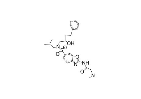 CC(C)CN(CC(O)[CH]Cc1ccccc1)S(=O)(=O)c1ccc2nc(NC(=O)CN(C)C)oc2c1